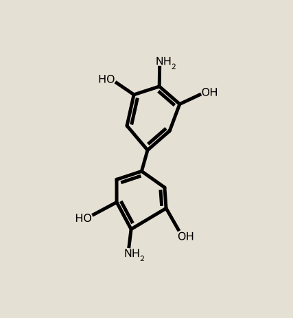 Nc1c(O)cc(-c2cc(O)c(N)c(O)c2)cc1O